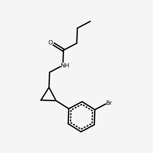 CCCC(=O)NCC1CC1c1cccc(Br)c1